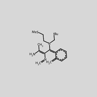 C=NC(=C(/C)N)/C(=c1/ccccc1=C)N(CCSC)CC(C)(C)C